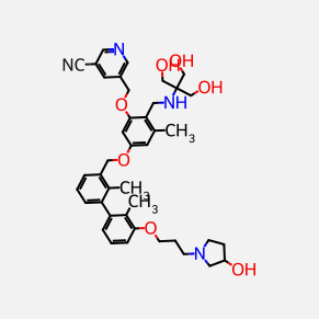 Cc1cc(OCc2cccc(-c3cccc(OCCCN4CCC(O)C4)c3C)c2C)cc(OCc2cncc(C#N)c2)c1CNC(CO)(CO)CO